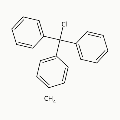 C.ClC(c1ccccc1)(c1ccccc1)c1ccccc1